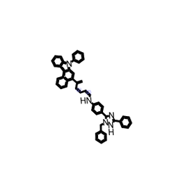 C=C(/C=C\C=C/Nc1ccc(C2N=C(c3ccccc3)NN2Cc2ccccc2)cc1)c1cc2c(c3ccccc13)c1ccccc1n2-c1ccccc1